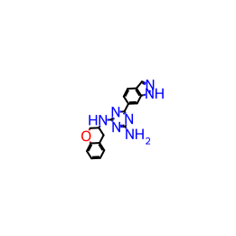 Nc1nc(NC2COc3ccccc3C2)nc(-c2ccc3cn[nH]c3c2)n1